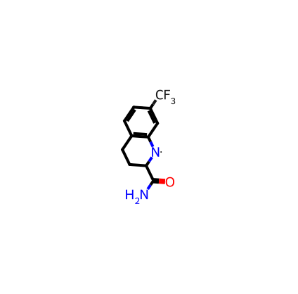 NC(=O)C1CCc2ccc(C(F)(F)F)cc2[N]1